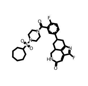 O=C1C=C2C(F)=NC3=C2C(CN1)CC(c1ccc(F)c(C(=O)N2CCN(S(=O)(=O)C4CCCCCC4)CC2)c1)C3